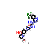 COc1cccc(C2(O)CCC(N3CC(NC(=O)CNc4ncnc5ccc(C(F)(F)F)cc45)C3)CC2)n1